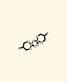 O=P1(OP2(=O)OCC(F)CO2)OCC(F)CO1